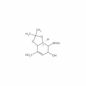 CC(=O)NC1C(O)C=C(C(=O)O)C2OC(C)(C)O[C@H]21